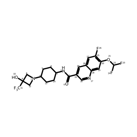 O=C(NC1CCC(N2CC(O)(C(F)(F)F)C2)CC1)c1cnc2cc(OC(F)F)c(F)cc2c1